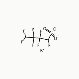 O=S(=O)([O-])C(F)C(F)(F)C(F)(F)C(F)F.[K+]